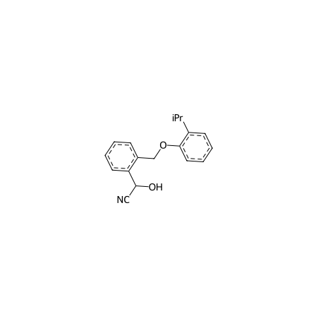 CC(C)c1ccccc1OCc1ccccc1C(O)C#N